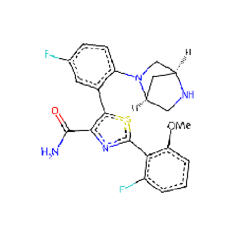 COc1cccc(F)c1-c1nc(C(N)=O)c(-c2cc(F)ccc2N2C[C@@H]3C[C@H]2CN3)s1